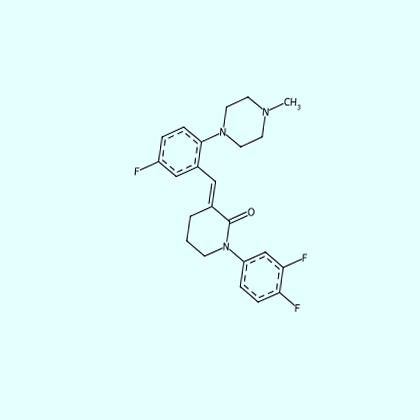 CN1CCN(c2ccc(F)cc2C=C2CCCN(c3ccc(F)c(F)c3)C2=O)CC1